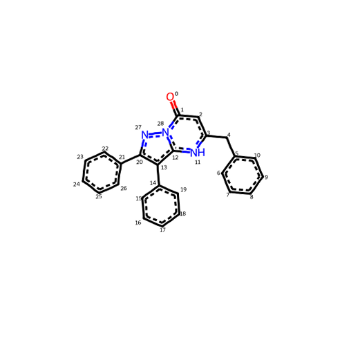 O=c1cc(Cc2ccccc2)[nH]c2c(-c3ccccc3)c(-c3ccccc3)nn12